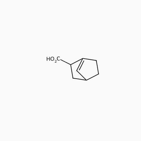 O=C(O)C1CC2C=C1CC2